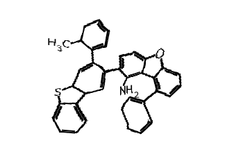 CC1CC=CC=C1C1=CC2Sc3ccccc3C2C=C1c1ccc2oc3cccc(C4=CCCC=C4)c3c2c1N